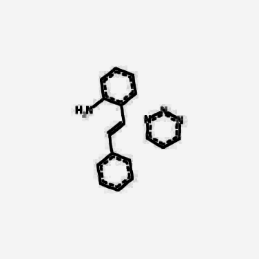 Nc1ccccc1C=Cc1ccccc1.c1cnnnc1